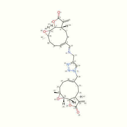 C=C1C(=O)O[C@H]2[C@H]1CC/C(C=NCc1cn(C/C3=C/CC[C@@]4(C)O[C@H]4[C@H]4OC(=O)C(=C)[C@@H]4CC3)nn1)=C\CC[C@@]1(C)O[C@@H]21